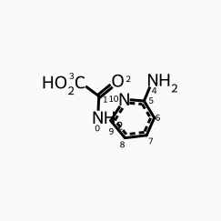 NC(=O)C(=O)O.Nc1ccccn1